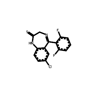 Fc1cccc(F)c1C1=NCC(=S)Nc2ccc(Cl)cc21